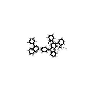 CC1(C)c2ccccc2-c2c1c1c3ccccc3n(-c3ccc(-c4nc(-c5ccccc5)c5ccccc5n4)cc3)c1c1oc3ccccc3c21